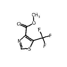 COC(=O)c1ncsc1C(F)(F)F